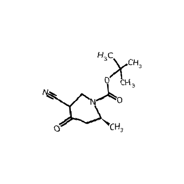 C[C@H]1CC(=O)C(C#N)CN1C(=O)OC(C)(C)C